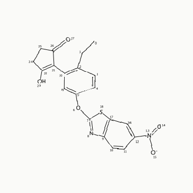 CCc1ccc(Oc2nc3ccc([N+](=O)[O-])cc3s2)cc1C1=C(O)CCC1=O